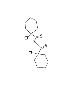 S=C(SC(=S)C1(Cl)CCCCC1)C1(Cl)CCCCC1